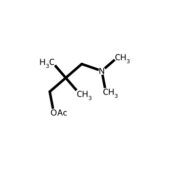 CC(=O)OCC(C)(C)CN(C)C